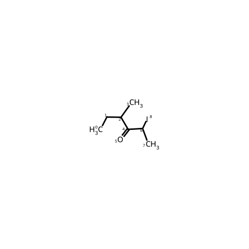 CCC(C)C(=O)C(C)I